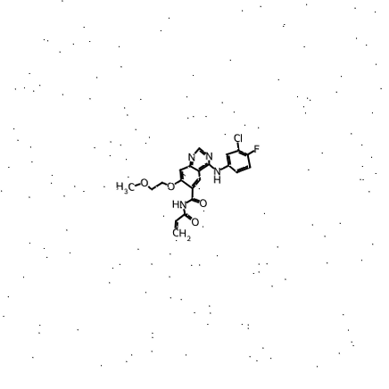 C=CC(=O)NC(=O)c1cc2c(Nc3ccc(F)c(Cl)c3)ncnc2cc1OCCOC